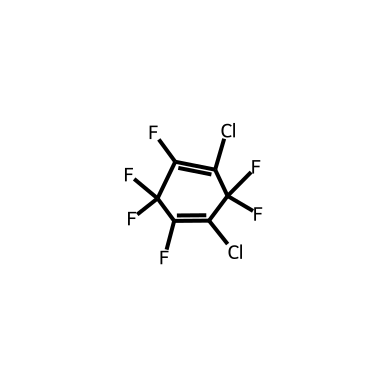 FC1=C(Cl)C(F)(F)C(Cl)=C(F)C1(F)F